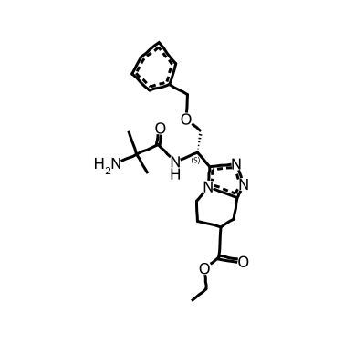 CCOC(=O)C1CCn2c(nnc2[C@@H](COCc2ccccc2)NC(=O)C(C)(C)N)C1